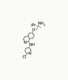 CC(C)C(C)(N)COc1ccc2c(Nc3ccc(Cl)nc3)nccc2c1